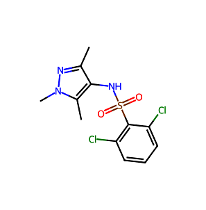 Cc1nn(C)c(C)c1NS(=O)(=O)c1c(Cl)cccc1Cl